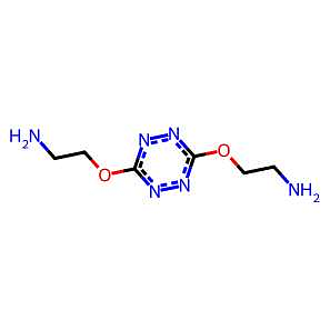 NCCOc1nnc(OCCN)nn1